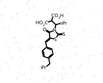 CCCC(C(C(=O)O)C(=O)O)N1C(=O)C(=Cc2ccc(CC(C)C)cc2)SC1=S